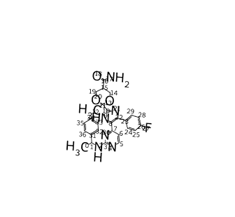 CC(Nc1nccc(-c2[nH]c(C3(C)OCC(C(N)=O)CO3)nc2-c2ccc(F)cc2)n1)c1ccccc1